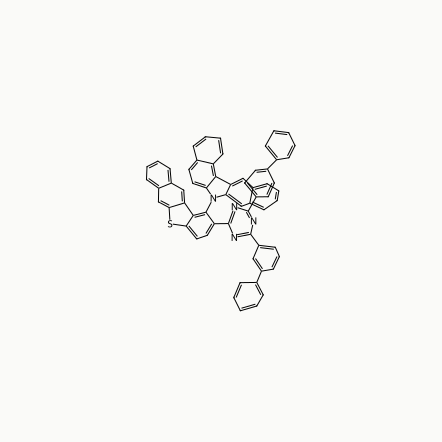 c1ccc(-c2ccc(-c3nc(-c4cccc(-c5ccccc5)c4)nc(-c4ccc5sc6cc7ccccc7cc6c5c4-n4c5cc6ccccc6cc5c5c6ccccc6ccc54)n3)cc2)cc1